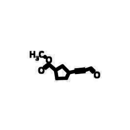 COC(=O)C1CCC(C#CC=O)C1